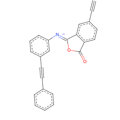 C#Cc1ccc2c(c1)/C(=N/c1cccc(C#Cc3ccccc3)c1)OC2=O